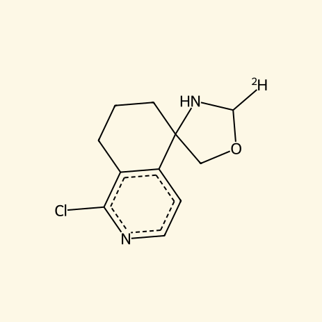 [2H]C1NC2(CCCc3c2ccnc3Cl)CO1